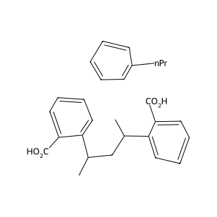 CC(CC(C)c1ccccc1C(=O)O)c1ccccc1C(=O)O.CCCc1ccccc1